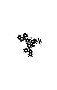 CC(C)(C)c1cc2c(=O)c3cc(-n4c5ccccc5c5c6ccccc6ccc54)ccc3n3c4ccc(-n5c6ccccc6c6c7ccccc7ccc65)cc4c(=O)c(c1)c23